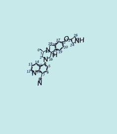 C[C@@H]1CN(c2ccc(C#N)c3ncccc23)C[C@@H]2c3ccc(OC4CNC4)cc3CN12